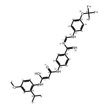 COc1ccc(N/C(O)=C/C(=O)Nc2ccc(C(=N)/N=C\Nc3ccc(OC(F)(F)F)cc3)cc2)c(C(C)C)c1